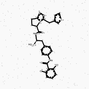 O=C(Nc1ccc(C[C@H](NC(=O)C2CCc3nnc(Cc4ccsc4)n32)C(=O)O)cc1)c1c(Cl)cccc1Cl